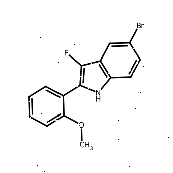 COc1ccccc1-c1[nH]c2ccc(Br)cc2c1F